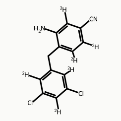 [2H]c1c(Cl)c([2H])c(Cc2c([2H])c([2H])c(C#N)c([2H])c2N)c([2H])c1Cl